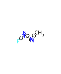 Cc1ccc(-n2nccc2-c2ccc3ncn(-c4ccc(F)cc4)c3c2)cc1